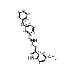 Nc1ccc2[nH]cc(CCNCc3cccc(Oc4ccccc4)c3)c2c1